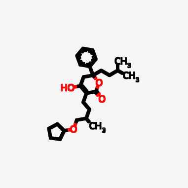 CC(C)CCC1(c2ccccc2)CC(O)=C(CCC(C)COC2CCCC2)C(=O)O1